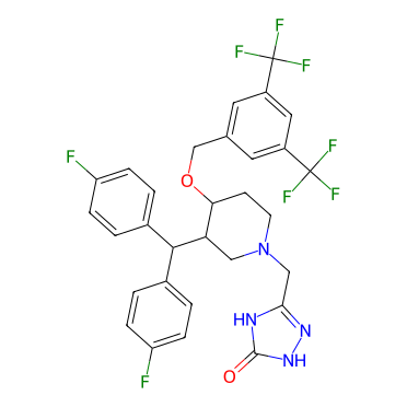 O=c1[nH]nc(CN2CCC(OCc3cc(C(F)(F)F)cc(C(F)(F)F)c3)C(C(c3ccc(F)cc3)c3ccc(F)cc3)C2)[nH]1